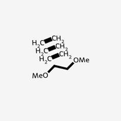 C=C.C=C.C=C.COCCOC